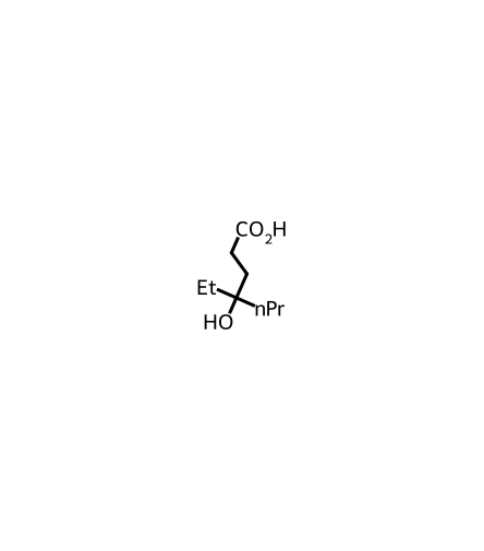 CCCC(O)(CC)CCC(=O)O